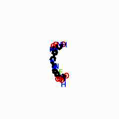 Cn1c(=O)n(C2CCC(=O)NC2=O)c2ccc(C3CCN(Cc4cnn(-c5ccc6cc(O)c(N7CC(=O)NS7(=O)=O)c(F)c6c5)c4)CC3)cc21